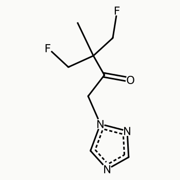 CC(CF)(CF)C(=O)Cn1cncn1